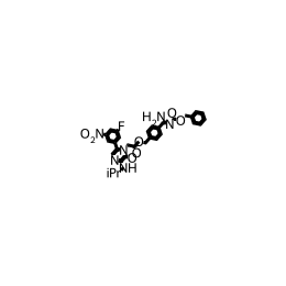 CC(C)Nc1ncc(-c2cc(F)cc([N+](=O)[O-])c2)n(CC(=O)OCc2ccc(/C(N)=N/C(=O)OCc3ccccc3)cc2)c1=O